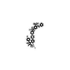 Cc1c(C(N)=O)c(-c2cccc(N3CCN(C4C=CC(NS(=O)(=O)c5ccc(NSc6ccccc6)c([N+](=O)[O-])c5)=CC4)CC3)c2)c(-c2ccc(F)cc2)n1C